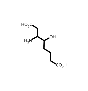 NC(CC(=O)O)C(O)CCCC(=O)O